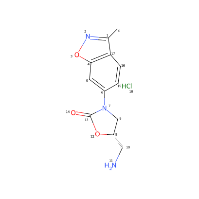 Cc1noc2cc(N3C[C@H](CN)OC3=O)ccc12.Cl